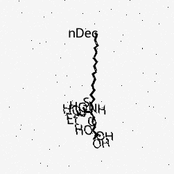 CCCCCCCCCCCCCCCCCCCCCCCCCC(=S)NC(COCC(O)C(O)CO)C(O)CC(O)CC